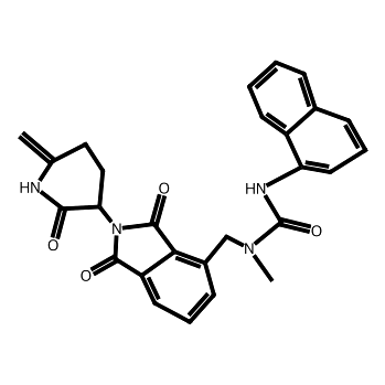 C=C1CCC(N2C(=O)c3cccc(CN(C)C(=O)Nc4cccc5ccccc45)c3C2=O)C(=O)N1